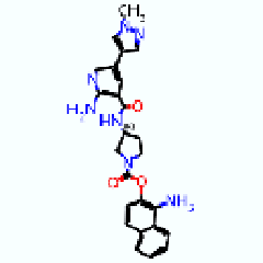 Cn1cc(-c2cnc(N)c(C(=O)N[C@@H]3CCN(C(=O)Oc4ccc5ccccc5c4N)C3)c2)cn1